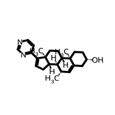 C[C@H]1C=C2C[C@@H](O)CC[C@]2(C)[C@H]2CC[C@]3(C)C(c4ccncn4)=CC[C@H]3[C@H]12